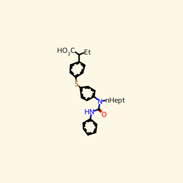 CCCCCCCN(C(=O)Nc1ccccc1)c1ccc(Sc2ccc(C(CC)C(=O)O)cc2)cc1